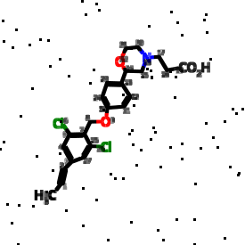 CC#Cc1cc(Cl)c(COc2ccc(C3CN(CCC(=O)O)CCO3)cc2)c(Cl)c1